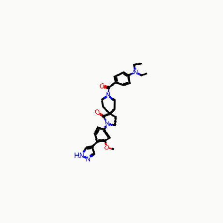 CCN(CC)c1ccc(C(=O)N2CCC3(CC2)CCN(c2ccc(-c4cn[nH]c4)c(OC)c2)C3=O)cc1